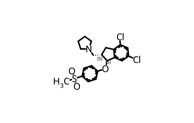 CS(=O)(=O)c1ccc(O[C@@H]2c3cc(Cl)cc(Cl)c3C[C@H]2CN2CCCC2)cc1